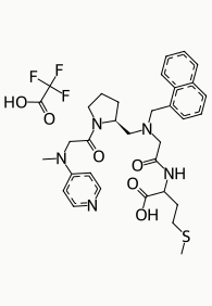 CSCCC(NC(=O)CN(Cc1cccc2ccccc12)C[C@@H]1CCCN1C(=O)CN(C)c1ccncc1)C(=O)O.O=C(O)C(F)(F)F